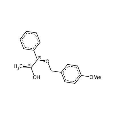 COc1ccc(CO[C@H](c2ccccc2)[C@H](C)O)cc1